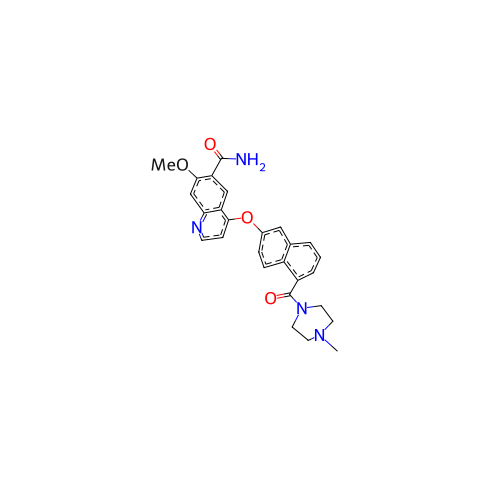 COc1cc2nccc(Oc3ccc4c(C(=O)N5CCN(C)CC5)cccc4c3)c2cc1C(N)=O